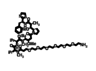 CC[C@H](C)[C@@H]([C@@H](CC(=O)N1CCC[C@H]1[C@H](OC)[C@@H](C)C(=O)N[C@@H](Cc1ccccc1)c1nccs1)OC)N(C)C(=O)[C@@H](NC(=O)C(C(C)C)N(C)C(=O)CCOCCOCCOCCOCCOCCOCCN)C(C)C